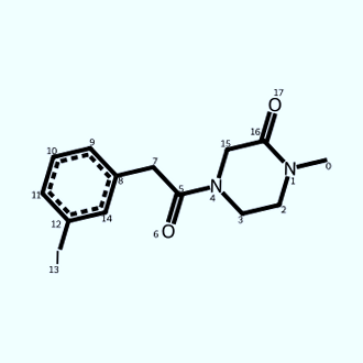 CN1CCN(C(=O)Cc2cccc(I)c2)CC1=O